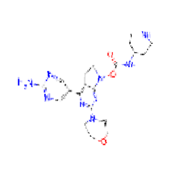 Nc1ncc(-c2nc(N3CCOCC3)nc3c2CCN3OC(=O)NC2CCNCC2)cn1